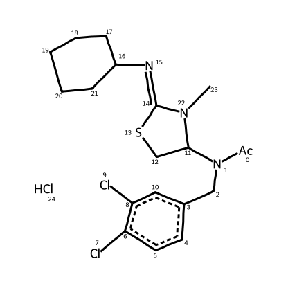 CC(=O)N(Cc1ccc(Cl)c(Cl)c1)C1CSC(=NC2CCCCC2)N1C.Cl